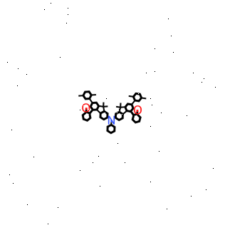 Cc1ccc(C)c(-c2cc3c(c4c2oc2ccccc24)-c2ccc(N(c4ccccc4)c4ccc5c(c4)C(C)(C)c4cc(-c6cc(C)ccc6C)c6oc7ccccc7c6c4-5)cc2C3(C)C)c1